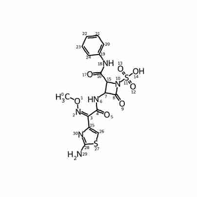 CON=C(C(=O)NC1C(=O)N(S(=O)(=O)O)C1C(=O)Nc1ccccc1)c1csc(N)n1